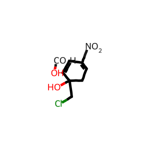 O=C(O)O.O=[N+]([O-])C1=CCC(O)(CCl)C=C1